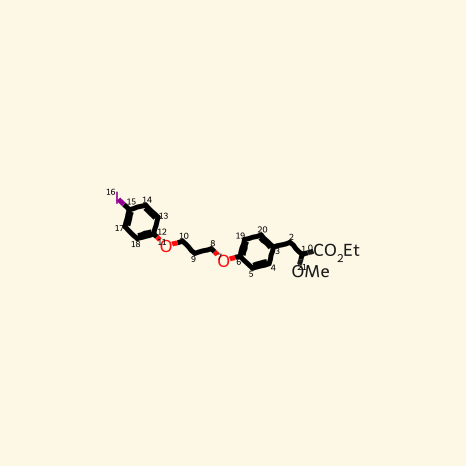 CCOC(=O)C(Cc1ccc(OCCCOc2ccc(I)cc2)cc1)OC